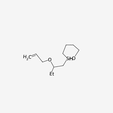 C=CCOC(CC)C[SiH]1CCCCO1